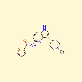 CCN1CCC(c2c[nH]c3ccc(NC(=O)c4cccs4)nc23)CC1